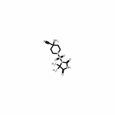 CC1(C)C(=O)NC(=O)N1S(=O)(=O)N1CCC(N)(C#N)CC1